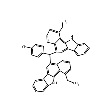 CCc1cccc2c(C(c3ccc(Cl)cc3)c3cc4c5ccccc5[nH]c4c4c(CC)cccc34)cc3c4ccccc4[nH]c3c12